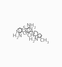 CC1=CCC2(CCN(c3nc(N)c(Sc4ccnc(N)c4Cl)nc3C)CC2)[C@@H]1N